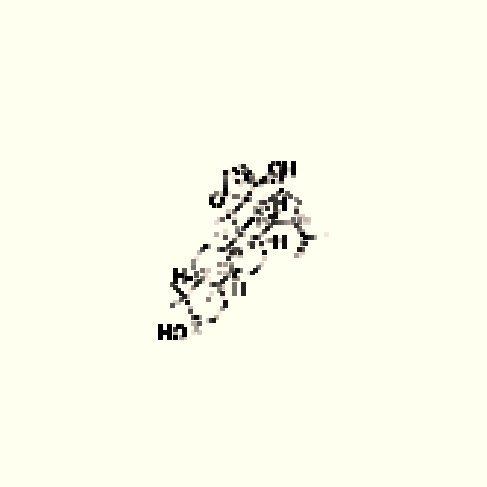 C=C(C)[C@@H]1CC[C@@]2(C(=O)O)[C@H]1[C@H]1CC[C@@H]3[C@@]4(C)CC[C@H](O)C(C)(C)[C@@H]4CC[C@@]3(C)[C@]1(C)C(C)(C)C21C(=O)CCC1=O